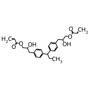 C=CC(=O)OCC(O)Cc1ccc(C(CC)c2ccc(CC(O)COC(=O)C=C)cc2)cc1